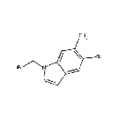 Cc1cc2c(cnn2CC(C)C)cc1Br